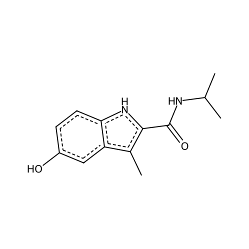 Cc1c(C(=O)NC(C)C)[nH]c2ccc(O)cc12